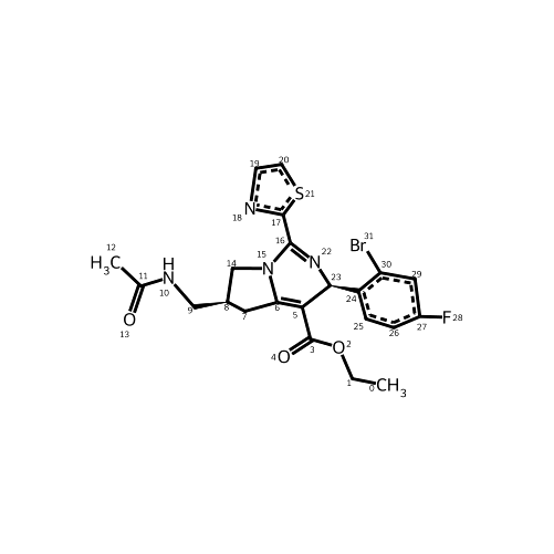 CCOC(=O)C1=C2C[C@@H](CNC(C)=O)CN2C(c2nccs2)=N[C@H]1c1ccc(F)cc1Br